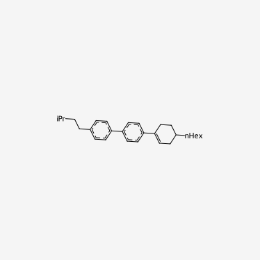 CCCCCCC1CC=C(c2ccc(-c3ccc(CCC(C)C)cc3)cc2)CC1